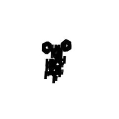 Fc1c(F)c(F)c(NNc2nc(N3CCCCC3)nc(N3CCCCC3)n2)c(F)c1F